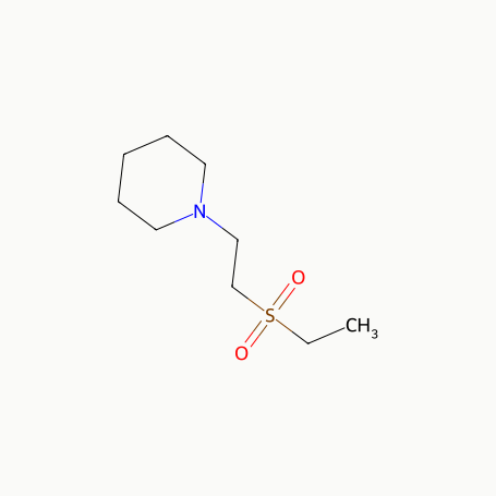 CCS(=O)(=O)CCN1CCCCC1